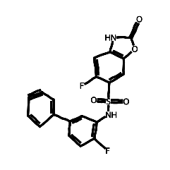 O=c1[nH]c2cc(F)c(S(=O)(=O)Nc3cc(-c4cc#ccc4)ccc3F)cc2o1